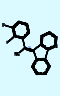 N#C/C(=C1\c2ccccc2-c2ncccc21)c1cccc(F)c1F